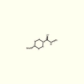 CNC1CCN(C(=O)NC(C)C)CC1